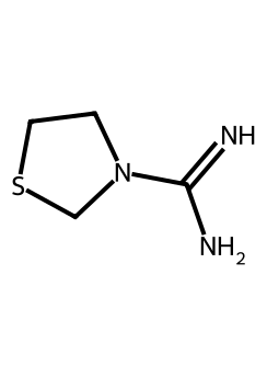 N=C(N)N1CCSC1